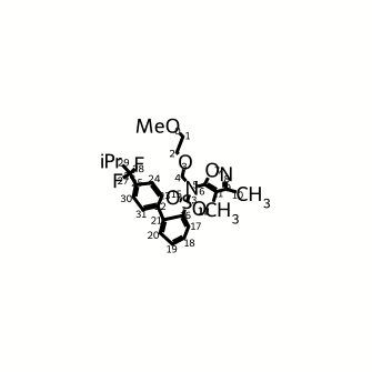 COCCOCN(c1onc(C)c1C)S(=O)(=O)c1ccccc1-c1ccc(C(F)(F)C(C)C)cc1